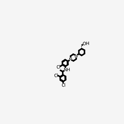 CC(Nc1cc(N2CCN(C3CCC[C@@H](CO)C3)CC2)ccc1Cl)c1ccc(Cl)cc1Cl